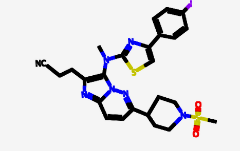 CN(c1nc(-c2ccc(I)cc2)cs1)c1c(CCC#N)nc2ccc(C3CCN(S(C)(=O)=O)CC3)nn12